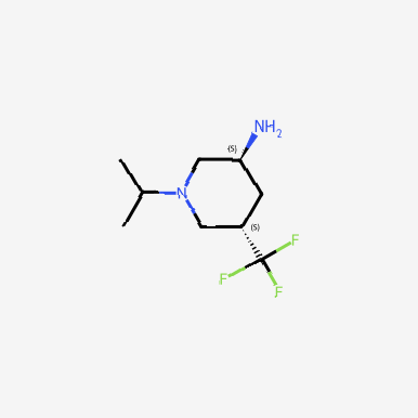 CC(C)N1C[C@@H](N)C[C@H](C(F)(F)F)C1